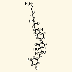 NCCOCCNC(=O)Oc1cc2cc(N3CC[C@](O)(C(=O)NCc4cc(F)cc(Cl)c4)C3=O)ccc2[nH]1